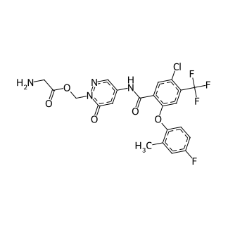 Cc1cc(F)ccc1Oc1cc(C(F)(F)F)c(Cl)cc1C(=O)Nc1cnn(COC(=O)CN)c(=O)c1